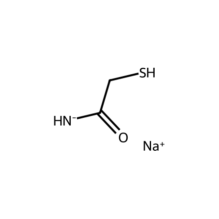 [NH-]C(=O)CS.[Na+]